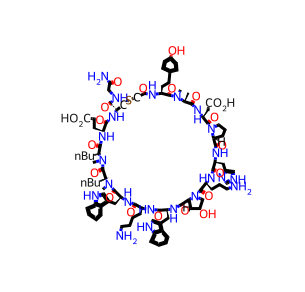 CCCC[C@H]1C(=O)N(C)[C@@H](CCCC)C(=O)N[C@@H](CCC(=O)O)C(=O)N[C@H](C(=O)NCC(N)=O)CSCC(=O)N[C@@H](CCc2ccc(O)cc2)C(=O)N(C)[C@@H](C)C(=O)N[C@@H](CC(=O)O)C(=O)N2CCC[C@H]2C(=O)N[C@@H](Cc2c[nH]cn2)C(=O)N[C@@H](CCCN)C(=O)N2C[C@H](O)C[C@H]2C(=O)N[C@@H](Cc2c[nH]c3ccccc23)C(=O)N[C@@H](CCCCN)C(=O)N[C@@H](Cc2c[nH]c3ccccc23)C(=O)N1C